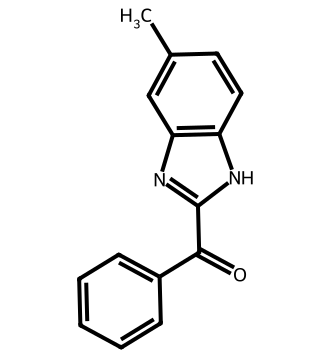 Cc1ccc2[nH]c(C(=O)c3ccccc3)nc2c1